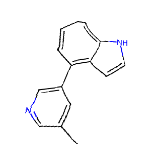 Cc1cncc(-c2cccc3[nH]ccc23)c1